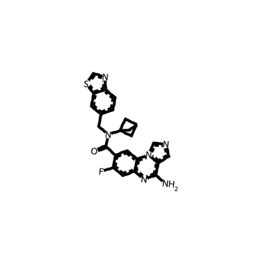 Nc1nc2cc(F)c(C(=O)N(Cc3ccc4ncsc4c3)C34CC(C3)C4)cc2n2cncc12